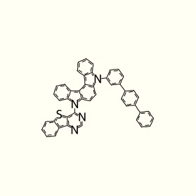 c1ccc(-c2ccc(-c3cccc(-n4c5ccccc5c5c6c7ccccc7n(-c7ncnc8c7sc7ccccc78)c6ccc54)c3)cc2)cc1